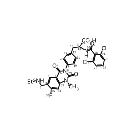 CCNCc1cc2c(=O)n(-c3ccc(C[C@H](NC(=O)c4c(Cl)cccc4Cl)C(=O)O)cc3)c(=O)n(C)c2cc1F